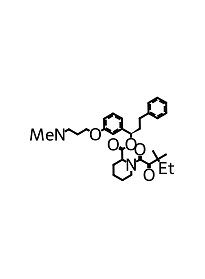 CCC(C)(C)C(=O)C(=O)N1CCCCC1C(=O)O[C@H](CCc1ccccc1)c1cccc(OCCCNC)c1